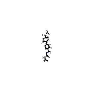 C/C(=C\C(=O)NC(C)C)c1ccc(C2=CC=C(NC(C)C)CC2F)cc1